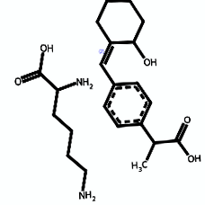 CC(C(=O)O)c1ccc(/C=C2/CCCCC2O)cc1.NCCCCC(N)C(=O)O